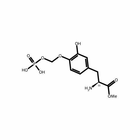 COC(=O)[C@@H](N)Cc1ccc(OCOP(=O)(O)O)c(O)c1